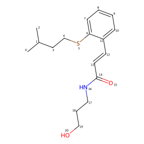 CC(C)CCSc1ccccc1C=CC(=O)NCCCO